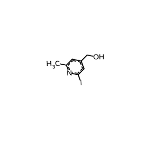 Cc1cc(CO)cc(I)n1